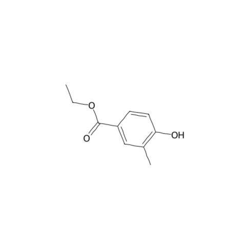 CCOC(=O)c1ccc(O)c(C)c1